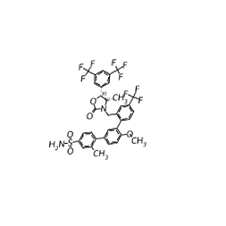 COc1ccc(-c2ccc(S(N)(=O)=O)cc2C)cc1-c1ccc(C(F)(F)F)cc1CN1C(=O)O[C@H](c2cc(C(F)(F)F)cc(C(F)(F)F)c2)[C@@H]1C